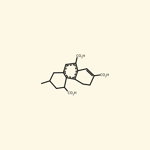 CC1Cc2cc(C(=O)O)c3c(c2C(C(=O)O)C1)CCC(C(=O)O)=C3